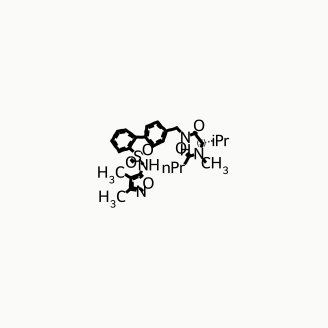 CCCC(=O)N(C)[C@H](C(=O)NCc1ccc(-c2ccccc2S(=O)(=O)Nc2onc(C)c2C)cc1)C(C)C